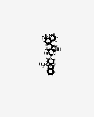 N[C@@H]1c2ccccc2CC12CCN(c1nc3[nH]nc(C4=CCC(F)(F)c5ncccc54)c3c(=O)[nH]1)CC2